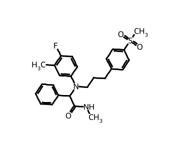 CNC(=O)C(c1ccccc1)N(CCCc1ccc(S(C)(=O)=O)cc1)c1ccc(F)c(C)c1